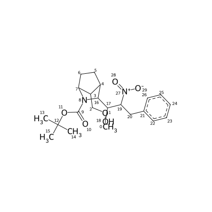 COCC1C2CCC1N(C(=O)OC(C)(C)C)C2C(O)C(Cc1ccccc1)[N+](=O)[O-]